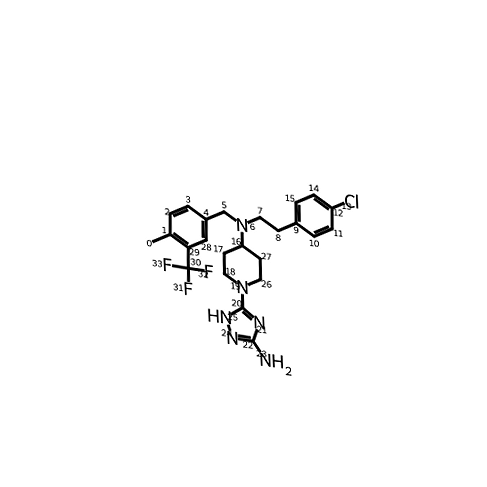 Cc1ccc(CN(CCc2ccc(Cl)cc2)C2CCN(c3nc(N)n[nH]3)CC2)cc1C(F)(F)F